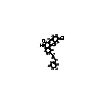 O=C1Nc2ccc(C#CCc3ccccc3)cc2C(=O)/C1=C\c1ccc(Cl)cc1